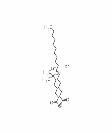 CC(C)(C)CCCCCC(=O)[O-].CCCCCCCCCCCCCCCCCC(=O)[O-].[K+].[Li+]